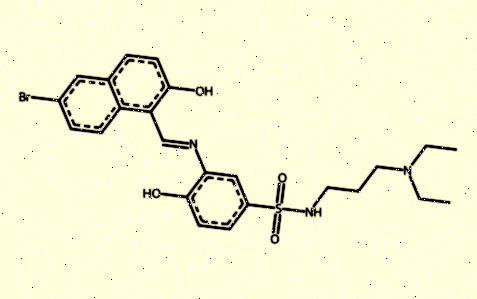 CCN(CC)CCCNS(=O)(=O)c1ccc(O)c(N=Cc2c(O)ccc3cc(Br)ccc23)c1